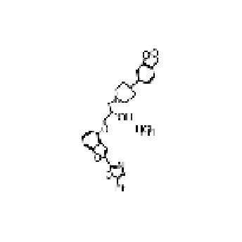 CCc1cnc(-c2cc3c(OC[C@@H](O)CN4CCC(c5ccc6c(c5)OOC6)CC4)cccc3o2)o1.Cl.Cl